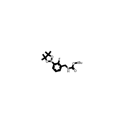 CC(C)(C)OC(=O)NCc1cccc(B2OC(C)(C)C(C)(C)O2)c1F